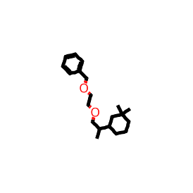 CC(COCCOCc1ccccc1)C1CCCC(C)(C)C1